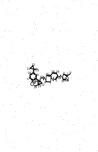 Cc1cn(C2=CN3CCN(C[C@@]45C[C@@H]4COc4ccc(C6(C)CC6)cc45)C=C3C=C2)cn1